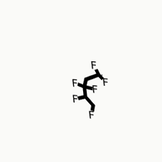 FCC(F)C(F)(F)C[C](F)F